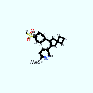 CSc1ccc(C2=C(c3ccc(S(C)(=O)=O)cc3)CC3(CCC3)C2)cn1